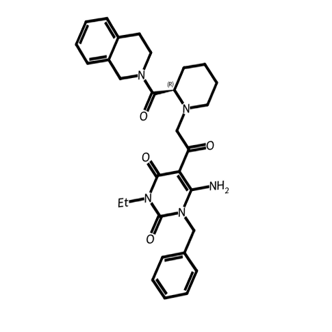 CCn1c(=O)c(C(=O)CN2CCCC[C@@H]2C(=O)N2CCc3ccccc3C2)c(N)n(Cc2ccccc2)c1=O